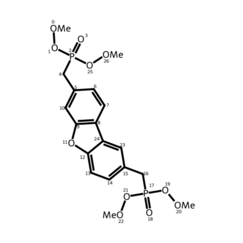 COOP(=O)(Cc1ccc2c(c1)oc1ccc(CP(=O)(OOC)OOC)cc12)OOC